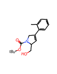 Cc1ccccc1C1=CC(CO)N(C(=O)OC(C)(C)C)C1